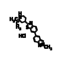 Cl.Cn1cc2cc(-c3ccc4nc(C5CCNC(C)(C)C5)sc4c3)ccc2n1